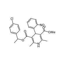 COC(=O)C1=C(C)NC(C)=C(C(=O)OC(C)c2ccc(Cl)cc2)C1c1ccccc1[N+](=O)[O-]